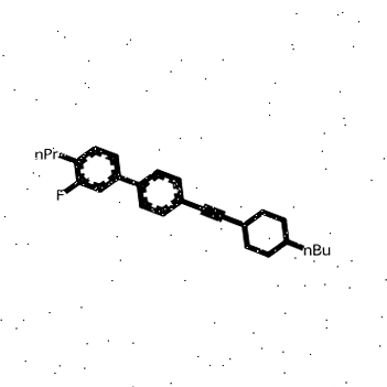 CCCCC1CCC(C#Cc2ccc(-c3ccc(CCC)c(F)c3)cc2)CC1